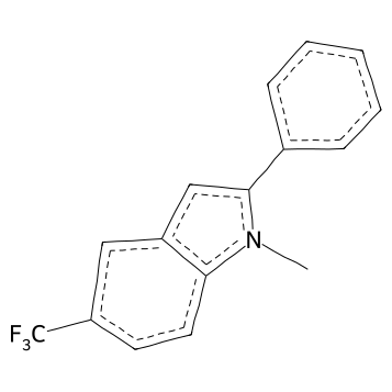 Cn1c(-c2ccccc2)cc2cc(C(F)(F)F)ccc21